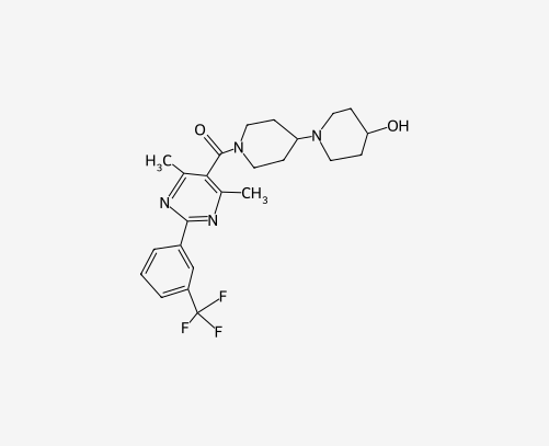 Cc1nc(-c2cccc(C(F)(F)F)c2)nc(C)c1C(=O)N1CCC(N2CCC(O)CC2)CC1